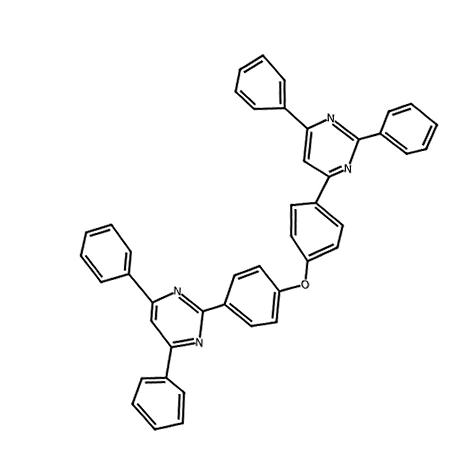 c1ccc(-c2cc(-c3ccc(Oc4ccc(-c5nc(-c6ccccc6)cc(-c6ccccc6)n5)cc4)cc3)nc(-c3ccccc3)n2)cc1